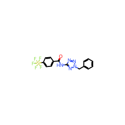 O=C(Nc1nnn(Cc2ccccc2)n1)c1ccc(S(F)(F)(F)(F)F)cc1